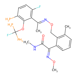 CNC(=O)/C(=N/OC)c1cccc(C)c1CO/N=C(\C)c1c(F)ccc(P)c1OC(F)(P)P